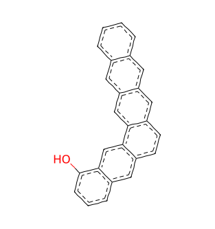 Oc1cccc2cc3ccc4cc5cc6ccccc6cc5cc4c3cc12